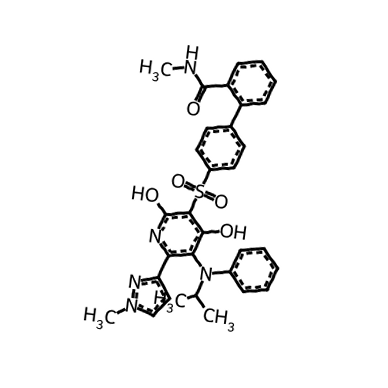 CNC(=O)c1ccccc1-c1ccc(S(=O)(=O)c2c(O)nc(-c3ccn(C)n3)c(N(c3ccccc3)C(C)C)c2O)cc1